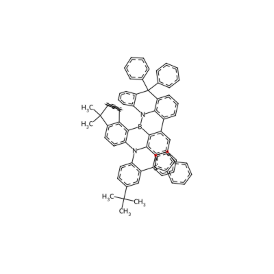 CC(C)(C)c1ccc(N2c3ccc4c(c3B3c5c(cc6c(sc7ccccc76)c52)-c2cccc5c2N3c2ccccc2C5(c2ccccc2)c2ccccc2)-c2ccccc2C4(C)C)c(-c2ccccc2)c1